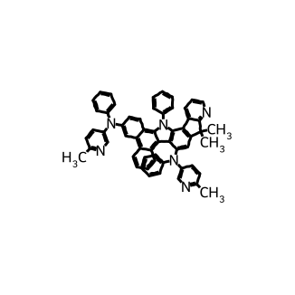 Cc1ccc(N(c2ccccc2)c2ccc3c(c2)c2ccccc2c2c4c(N(c5ccccc5)c5ccc(C)nc5)cc5c(c4n(-c4ccccc4)c32)-c2cccnc2C5(C)C)cn1